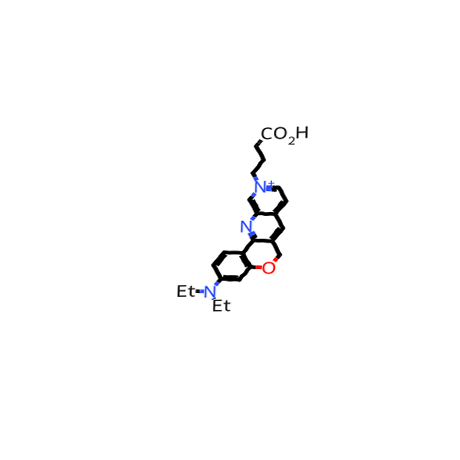 CCN(CC)c1ccc2c(c1)OCc1cc3cc[n+](CCCC(=O)O)cc3nc1-2